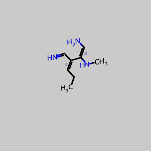 CC/C=C(C=N)\C(=C/N)NC